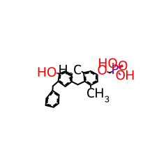 Cc1cc(OCP(=O)(O)O)cc(C)c1Cc1ccc(O)c(Cc2ccccc2)c1